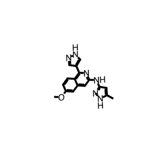 COc1ccc2c(-c3cn[nH]c3)nc(Nc3cc(C)[nH]n3)cc2c1